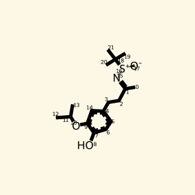 CC(CCc1ccc(O)c(OC(C)C)c1)=N[S@+]([O-])C(C)(C)C